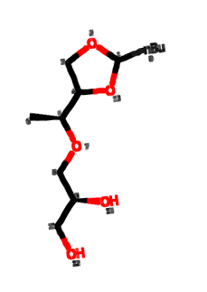 CCCCC1OCC([C@H](C)OC[C@@H](O)CO)O1